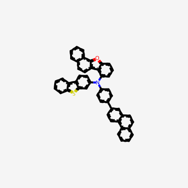 c1ccc2c(c1)ccc1cc(-c3ccc(N(c4ccc5c(c4)sc4ccccc45)c4cccc5oc6c7ccccc7ccc6c45)cc3)ccc12